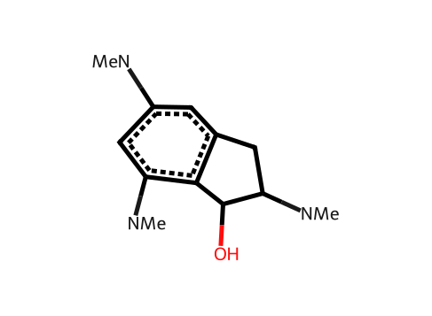 CNc1cc2c(c(NC)c1)C(O)C(NC)C2